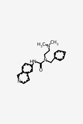 CN(C)CCN(Cc1ccccc1)C(=O)Nc1ccc2cnccc2c1